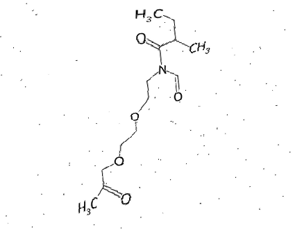 CCC(C)C(=O)N(C=O)CCOCCOCC(C)=O